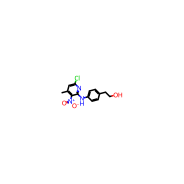 Cc1cc(Cl)nc(Nc2ccc(CCO)cc2)c1[N+](=O)[O-]